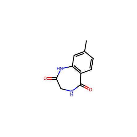 Cc1ccc2c(c1)NC(=O)CNC2=O